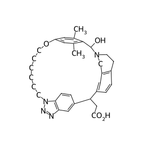 Cc1cc2cc(C)c1C(O)N1CCc3ccc(cc3C1)C(CC(=O)O)c1ccc3c(c1)nnn3CCCCCCO2